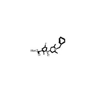 CCN(c1cc(F)cc(C(=O)OC)c1C)C1CC(C)N(Cc2ccccc2)C(C)C1